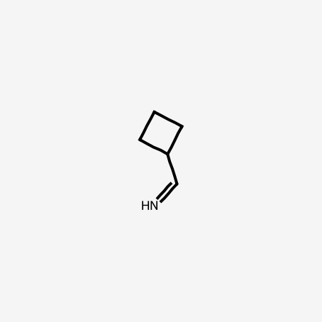 N=CC1CCC1